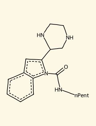 CCCCCNC(=O)n1c(C2CNCCN2)cc2ccccc21